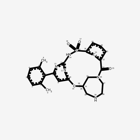 Cc1cccc(C)c1-c1cc2nc(n1)NS(=O)(=O)c1cccc(c1)C(=O)N1CCNC[C@H](C1)O2